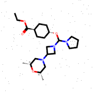 CCOC(=O)[C@H]1CC[C@H](OC(N2CCCC2)N2CC(N3C[C@@H](C)O[C@@H](C)C3)C2)CC1